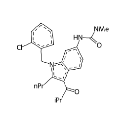 CCCc1c(C(=O)C(C)C)c2ccc(NC(=O)NC)cc2n1Cc1ccccc1Cl